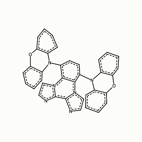 c1ccc2c(c1)Oc1ccccc1N2c1ccc(N2c3ccccc3Oc3ccccc32)c2c1n1ccnc1c1nccn12